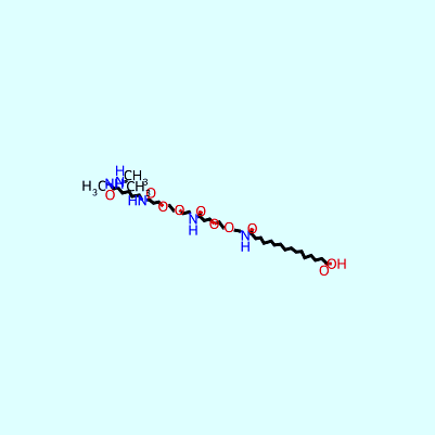 CNC(=O)C(CCCCNC(=O)CCOCCOCCNC(=O)CCOCCOCCNC(=O)CCCCCCCCCCCCCCC(=O)O)NC(C)C